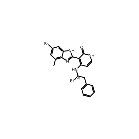 CC[C@H](Cc1ccccc1)Nc1cc[nH]c(=O)c1-c1nc2c(C)cc(Br)cc2[nH]1